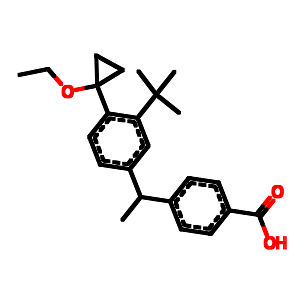 CCOC1(c2ccc(C(C)c3ccc(C(=O)O)cc3)cc2C(C)(C)C)CC1